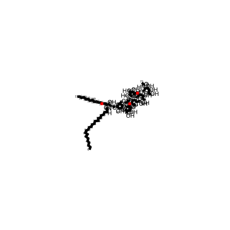 CCCCCCCC/C=C\CCCCCCCCCCCCCC(=O)N[C@@H](CO[C@@H]1OC(CO)[C@@H](O[C@@H]2OC(CO)[C@H](O)[C@H](O[C@@H]3OC(CO)[C@@H](O[C@@H]4OC(CO)[C@H](O)[C@H](O[C@@H]5OC(CO)[C@@H](O)[C@H](O)C5NC(C)=O)C4O)[C@H](O[C@H]4OC(C)[C@@H](O)C(O)[C@@H]4O)C3NC(C)=O)C2O)[C@H](O)C1O)[C@H](O)/C=C/CCCCCCCCCCCCC